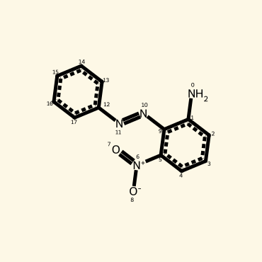 Nc1cccc([N+](=O)[O-])c1N=Nc1ccccc1